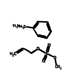 C=CCOS(=O)(=O)OC.Cc1ccccc1.N